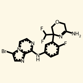 NC1=NC(c2cc(Nc3nccn4c(Br)cnc34)ccc2F)(C(F)F)COC1